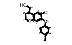 Cc1ccc(Oc2cc3c(cc2Cl)C(CO)CCO3)cc1